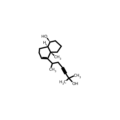 CC(CC#CC(C)(C)O)C1=CCC[C@H]2[C@@H](O)CCC[C@]12C